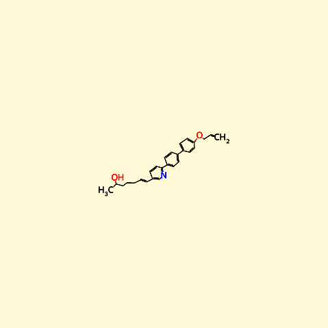 C=CCOc1ccc(-c2ccc(-c3ccc(/C=C/CCCC(C)O)cn3)cc2)cc1